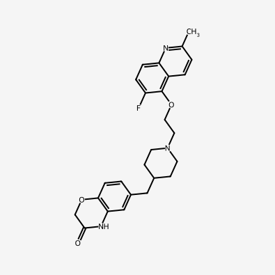 Cc1ccc2c(OCCN3CCC(Cc4ccc5c(c4)NC(=O)CO5)CC3)c(F)ccc2n1